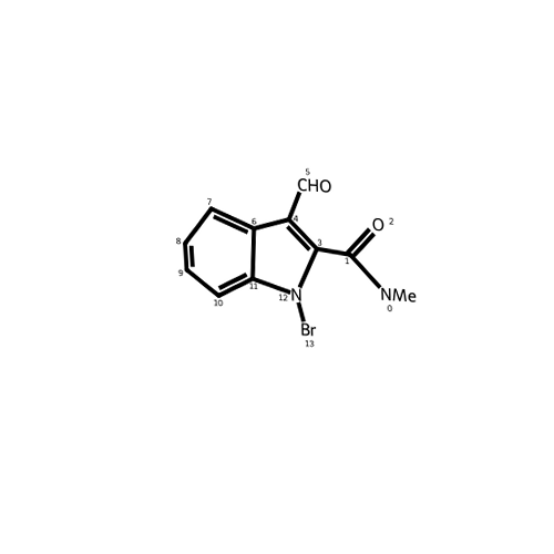 CNC(=O)c1c(C=O)c2ccccc2n1Br